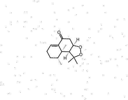 C[C@@H]1CCC=C2C(=O)C[C@H]3OOC(C)(C)[C@H]3[C@]21C